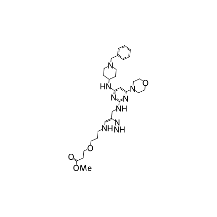 COC(=O)CCOCCCN/C=C(/CNc1nc(NC2CCN(Cc3ccccc3)CC2)cc(N2CCOCC2)n1)N=N